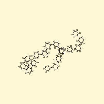 c1ccc(-c2cccc(-c3ccc(-c4nc(-c5ccc(-c6cccc(-c7cccc(-c8ccccc8)c7)c6)cc5)nc(-c5cccc(-c6cccc(-c7cccc(-c8cccc(-c9ccc%10c(c9)C9(c%11ccccc%11-c%11ccccc%119)c9ccccc9-%10)c8)c7)c6)c5)n4)cc3)c2)cc1